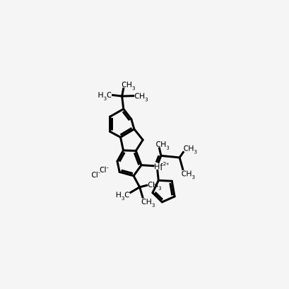 C[C](C(C)C)=[Hf+2]([c]1c(C(C)(C)C)ccc2c1Cc1cc(C(C)(C)C)ccc1-2)[CH]1C=CC=C1.[Cl-].[Cl-]